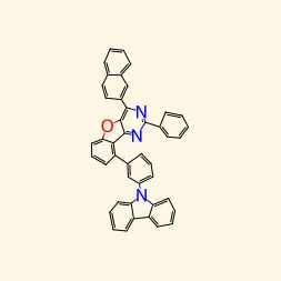 c1ccc(-c2nc(-c3ccc4ccccc4c3)c3oc4cccc(-c5cccc(-n6c7ccccc7c7ccccc76)c5)c4c3n2)cc1